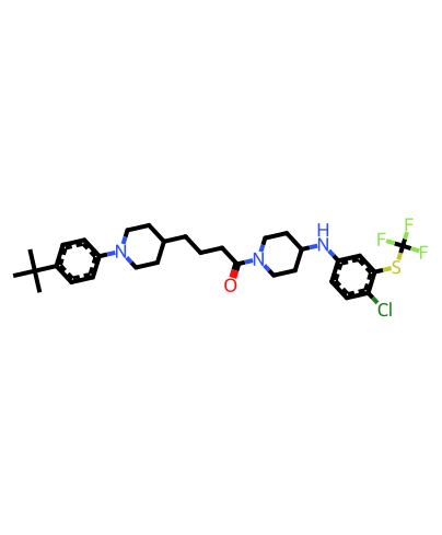 CC(C)(C)c1ccc(N2CCC(CCCC(=O)N3CCC(Nc4ccc(Cl)c(SC(F)(F)F)c4)CC3)CC2)cc1